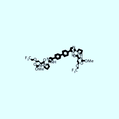 COC(=O)N[C@@H](CCOCC(F)(F)F)C(=O)N1CCC[C@H]1c1ncc(-c2ccc(-c3ccc(-c4cnc([C@@H]5CCCN5C(=O)[C@H](CCOCC(F)(F)F)NC(=O)OC)[nH]4)cc3)cc2)[nH]1